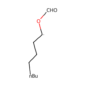 [CH2]CCCCCC[CH]OC=O